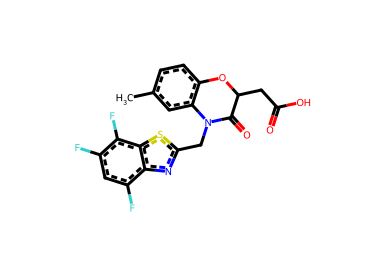 Cc1ccc2c(c1)N(Cc1nc3c(F)cc(F)c(F)c3s1)C(=O)C(CC(=O)O)O2